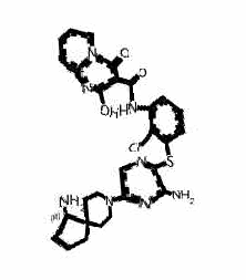 Nc1nc(N2CCC3(CCC[C@H]3N)CC2)cnc1Sc1cccc(NC(=O)c2c(O)nc3ccccn3c2=O)c1Cl